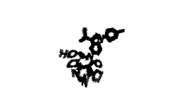 Cc1ccc(-n2cc(C(C)C)c3cc(N(CCO)C(=O)c4c(Cl)ncnc4Cl)ccc32)cc1